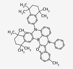 Cc1ccc2oc3c(c2c1)N(c1ccccc1)c1cccc2c1B3c1cc3c(cc1N2c1ccc2c(c1)C(C)(C)CCC2(C)C)C(C)(C)CCC3(C)C